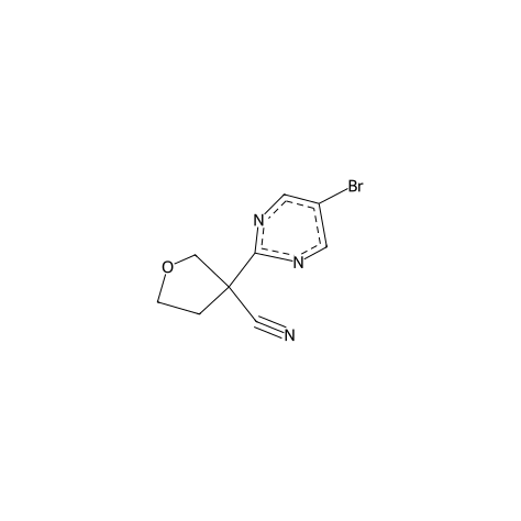 N#CC1(c2ncc(Br)cn2)CCOC1